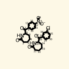 O=C1CCCCC(C(=O)c2ccc([N+](=O)[O-])cc2)N1.O=C1CCCCC(C(=O)c2cccc(Cl)c2)N1